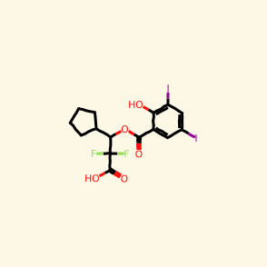 O=C(OC(C1CCCC1)C(F)(F)C(=O)O)c1cc(I)cc(I)c1O